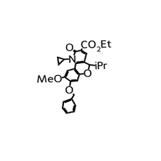 CCOC(=O)c1cc2c(n(C3CC3)c1=O)-c1cc(OC)c(OCc3ccccc3)cc1OC2C(C)C